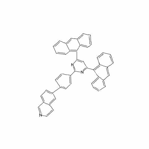 c1ccc2c(-c3cc(-c4c5ccccc5cc5ccccc45)nc(-c4ccc(-c5ccc6cnccc6c5)cc4)n3)c3ccccc3cc2c1